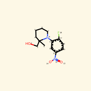 CC1(CO)CCCCN1c1cc([N+](=O)[O-])ccc1F